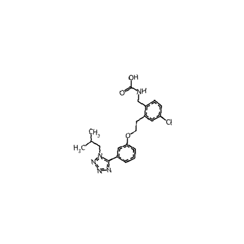 CC(C)Cn1nnnc1-c1cccc(OCCc2cc(Cl)ccc2CNC(=O)O)c1